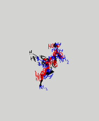 COC(=O)C[C@H](NC(=O)[C@H](CCC(N)=O)NC(=O)CNC(=O)[C@@H]1C[C@@H](O)CN1)C(=O)NCC(=O)N[C@@H](CC(C)C)C(=O)N[C@@H](C)C(=O)NCC(=O)N1CCC[C@H]1C(=O)N[C@@H](CCCCN)C(=O)O